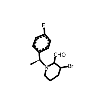 C[C@@H](c1ccc(F)cc1)N1CCCC(Br)C1C=O